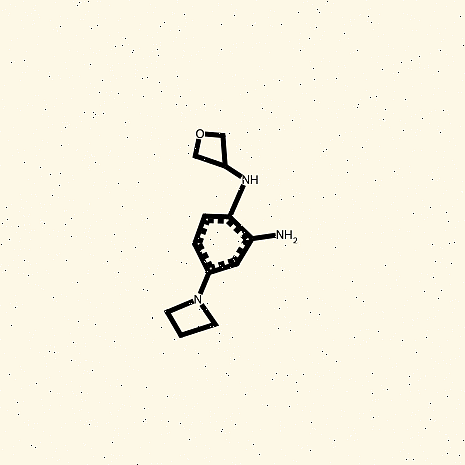 Nc1cc(N2CCC2)ccc1NC1COC1